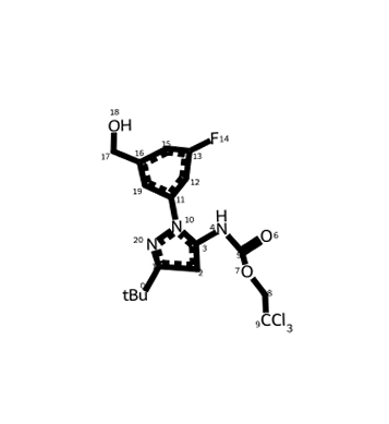 CC(C)(C)c1cc(NC(=O)OCC(Cl)(Cl)Cl)n(-c2cc(F)cc(CO)c2)n1